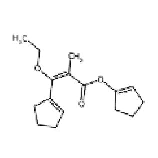 CCOC(C1=CCCC1)=C(C)C(=O)OC1=CCCC1